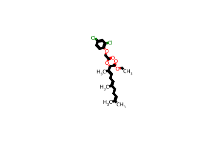 CCOC(=O)C(OC(=O)COc1ccc(Cl)cc1Cl)/C(C)=C/C/C=C(\C)CCC=C(C)C